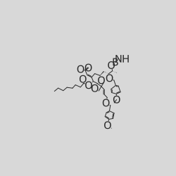 CCCCCCCC(=O)O[C@H]1/C(=C/C(=O)OC)C[C@@H](C[C@@H](OCc2ccc(OC)cc2)[C@@H](C)OB=N)O[C@@]1(OC)C(C)(C)/C=C/COCc1ccc(OC)cc1